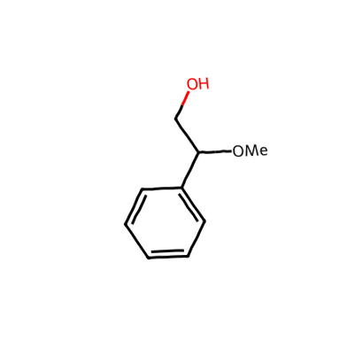 COC(CO)c1ccccc1